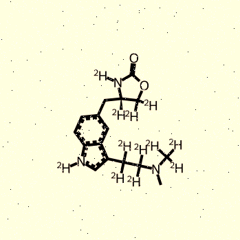 [2H]N1C(=O)OC([2H])([2H])[C@]1([2H])Cc1ccc2c(c1)c(C([2H])([2H])C([2H])([2H])N(C)C([2H])([2H])[2H])cn2[2H]